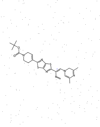 C=N/C(=C\N1C=C(C)N=C(C)C1)c1nc2sc(C3=CCN(C(=O)OC(C)(C)C)CC3)nc2s1